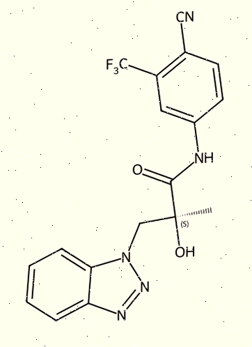 C[C@](O)(Cn1nnc2ccccc21)C(=O)Nc1ccc(C#N)c(C(F)(F)F)c1